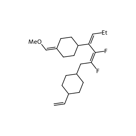 C=CC1CCC(C/C(F)=C(F)\C(=C/CC)C2CCC(=COC)CC2)CC1